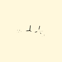 CC[SiH](C)OC(C)OC